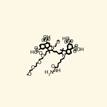 COCCOCCOCCOCCC1(C)C(/C=C/C=C2/N(CCCCCC(=O)NN)c3ccc4c(S(=O)(=O)O)cc(S(=O)(=O)O)cc4c3C2(C)C)=[N+](CCOC)c2cc(S(=O)(=O)O)c3ccc(S(=O)(=O)O)cc3c21